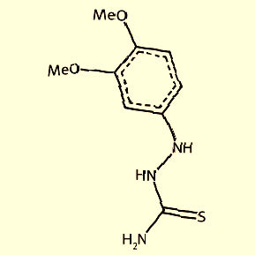 COc1ccc(NNC(N)=S)cc1OC